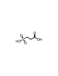 O=C(O)CCS(=O)(=O)O